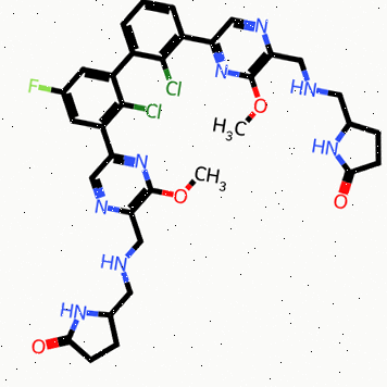 COc1nc(-c2cccc(-c3cc(F)cc(-c4cnc(CNCC5CCC(=O)N5)c(OC)n4)c3Cl)c2Cl)cnc1CNCC1CCC(=O)N1